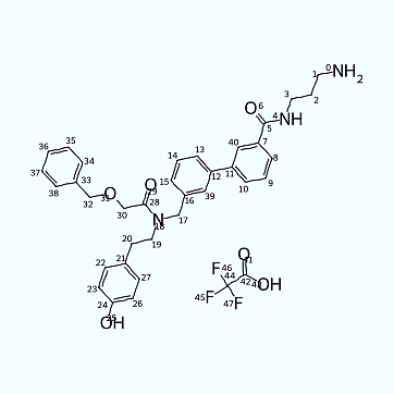 NCCCNC(=O)c1cccc(-c2cccc(CN(CCc3ccc(O)cc3)C(=O)COCc3ccccc3)c2)c1.O=C(O)C(F)(F)F